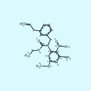 C=CCc1cccc(CN(C(=O)OCC)c2nc(SC)nc(N)c2[N+](=O)[O-])c1